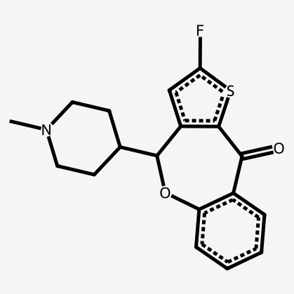 CN1CCC(C2Oc3ccccc3C(=O)c3sc(F)cc32)CC1